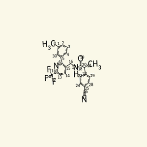 Cc1cccc(-c2nc(C(F)(F)F)ccc2CNC(=O)C(C)c2ccc(C#N)cc2)c1